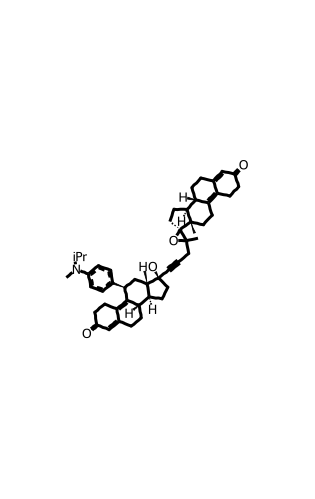 CC(C)N(C)c1ccc([C@H]2C[C@@]3(C)[C@@H](CC[C@@]3(O)C#CCC3(C)O[C@]34CC[C@H]3[C@@H]5CCC6=CC(=O)CCC6=C5CC[C@@]34C)[C@@H]3CCC4=CC(=O)CCC4=C32)cc1